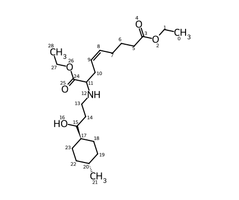 CCOC(=O)CCC/C=C\CC(NCCC(O)[C@H]1CC[C@H](C)CC1)C(=O)OCC